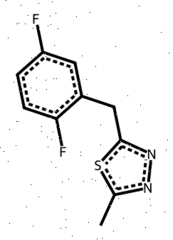 Cc1nnc(Cc2cc(F)ccc2F)s1